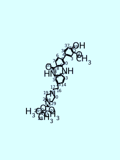 COc1cc(-c2ccc3c(c2)Nc2ccc(CCN4CCN(C(=O)OC(C)(C)C)CC4)cc2NC3=O)ccc1O